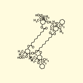 CC1(C)CC(OC(=O)CCCCCCCCC(=O)OC2CC(C)(C)N(OC3CCCCC3)C(C)(C)C2)CC(C)(C)N1OC1CCCCC1.CCCCCCCCON1C(C)(C)CC(OC(=O)CCCCCCCCC(=O)OC2CC(C)(C)N(OCCCCCCCC)C(C)(C)C2)CC1(C)C